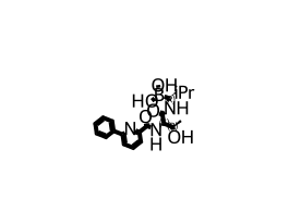 CC(C)[C@H](NC(=O)[C@@H](NC(=O)c1cccc(-c2ccccc2)n1)[C@@H](C)O)B(O)O